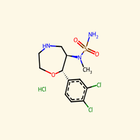 CN([C@@H]1CNCCO[C@H]1c1ccc(Cl)c(Cl)c1)S(N)(=O)=O.Cl